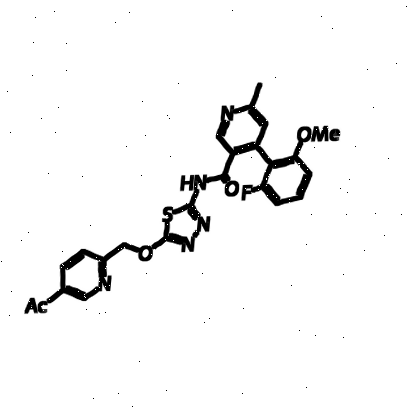 COc1cccc(F)c1-c1cc(C)ncc1C(=O)Nc1nnc(OCc2ccc(C(C)=O)cn2)s1